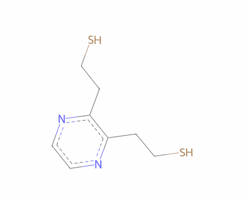 SCCc1nccnc1CCS